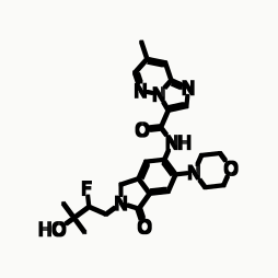 Cc1cnn2c(C(=O)Nc3cc4c(cc3N3CCOCC3)C(=O)N(CC(F)C(C)(C)O)C4)cnc2c1